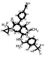 C[C@@H](Nc1nn(C)c(=O)c2c(-c3ccc(C#N)cc3)c(=O)n(C3(C)CC3)cc12)c1cccc(C(F)(F)F)c1F